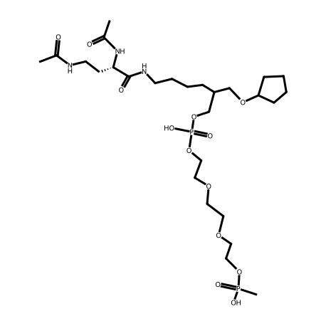 CC(=O)NCC[C@H](NC(C)=O)C(=O)NCCCCC(COC1CCCC1)COP(=O)(O)OCCOCCOCCOP(C)(=O)O